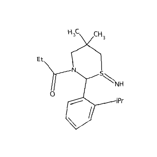 CCC(=O)N1CC(C)(C)CS(=N)C1c1ccccc1C(C)C